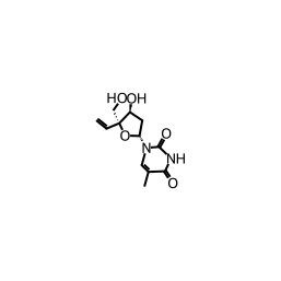 C=C[C@]1(CO)O[C@@H](n2cc(C)c(=O)[nH]c2=O)C[C@@H]1O